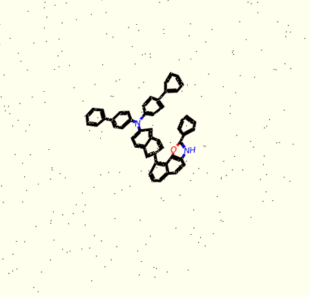 c1ccc(-c2ccc(N(c3ccc(-c4ccccc4)cc3)c3ccc4cc(-c5cccc6ccc7c(c56)OC(c5ccccc5)N7)ccc4c3)cc2)cc1